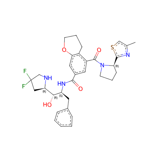 Cc1csc([C@H]2CCCN2C(=O)c2cc(C(=O)N[C@@H](Cc3ccccc3)[C@H](O)[C@H]3CC(F)(F)CN3)cc3c2CCCO3)n1